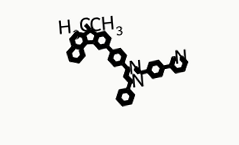 CC1(C)c2ccc(-c3ccc(-c4cc(-c5ccccc5)nc(-c5ccc(-c6cccnc6)cc5)n4)cc3)cc2-c2c1ccc1ccccc21